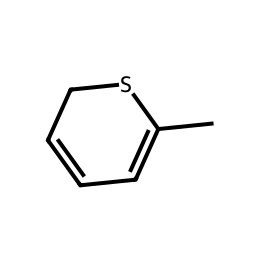 CC1=CC=CCS1